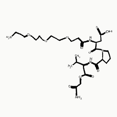 CC(C)C(NC(=O)C1CCCN1C(=O)C(CC(=O)O)NC(=O)CCOCCOCCOCCN)C(=O)OCC(N)=O